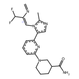 C=N/C(=C\n1c(-c2cccc(N3CCCC(C(N)=O)C3)n2)cnc1C)C(F)F